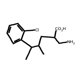 CC(CC(CN)C(=O)O)C(C)c1ccccc1Cl